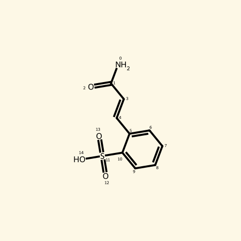 NC(=O)C=Cc1ccccc1S(=O)(=O)O